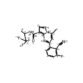 Cc1cc(-c2cccc(F)c2C#N)nc2c(C(=O)NC(C)C(F)(F)F)cnn12